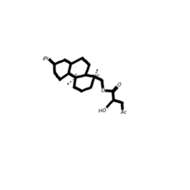 CC(=O)CC(O)C(=O)OC[C@@]1(C)CCC[C@@]2(C)C3CCC(C(C)C)CC3CCC12